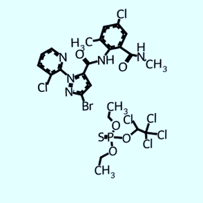 CCOP(=S)(OCC)OC(Cl)C(Cl)(Cl)Cl.CNC(=O)c1cc(Cl)cc(C)c1NC(=O)c1cc(Br)nn1-c1ncccc1Cl